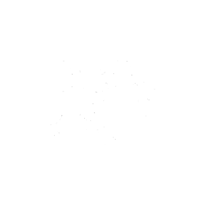 CCN1CCN(c2cccc3c2CN([C@H](CCCN(Cc2ccncc2)Cc2ccncc2)c2ccc(OC)c(OC)c2)C3=O)CC1